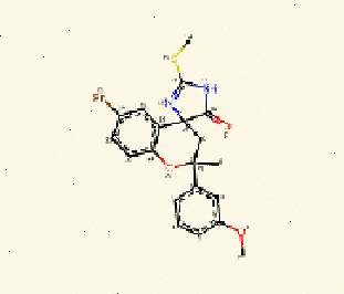 COc1cccc([C@@]2(C)CC3(N=C(SC)NC3=O)c3cc(Br)ccc3O2)c1